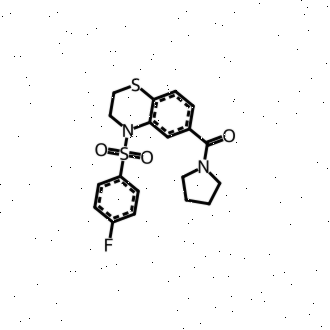 O=C(c1ccc2c(c1)N(S(=O)(=O)c1ccc(F)cc1)CCS2)N1CCCC1